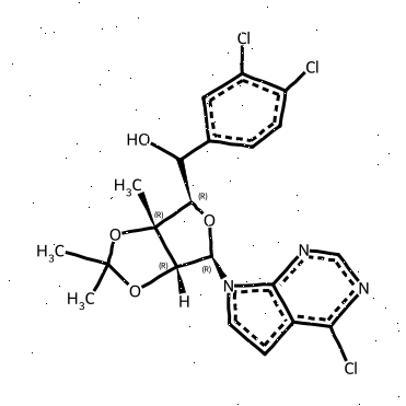 CC1(C)O[C@H]2[C@H](n3ccc4c(Cl)ncnc43)O[C@H](C(O)c3ccc(Cl)c(Cl)c3)[C@@]2(C)O1